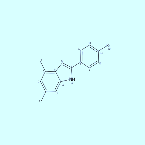 Cc1cc(C)c2cc(-c3ccc(Br)cc3)[nH]c2c1